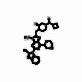 CCc1nc2ccccc2n1-c1nc(C2CNCCO2)c2nc(CN3CCN(C(=O)C4CCC4)CC3=O)n(C)c2n1